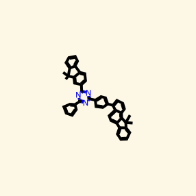 CC1(C)c2ccccc2-c2ccc(-c3nc(-c4ccccc4)nc(-c4ccc(-c5cccc6c7c(ccc56)-c5ccccc5C7(C)C)cc4)n3)cc21